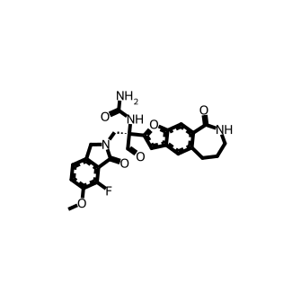 COc1ccc2c(c1F)C(=O)N(C[C@](C=O)(NC(N)=O)c1cc3cc4c(cc3o1)C(=O)NCCC4)C2